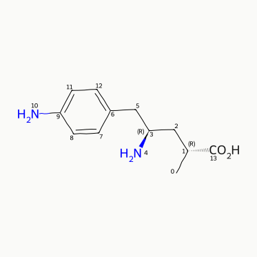 C[C@H](C[C@@H](N)Cc1ccc(N)cc1)C(=O)O